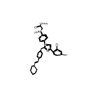 COC(=O)C[AsH]c1ccc(-n2cc(-c3ccc(Cl)cc3Cl)nc2Cc2ccc(C=CC3CCCCC3)cc2)cc1